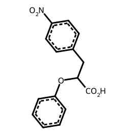 O=C(O)C(Cc1ccc([N+](=O)[O-])cc1)Oc1ccccc1